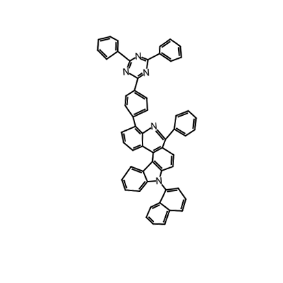 c1ccc(-c2nc(-c3ccccc3)nc(-c3ccc(-c4cccc5c4nc(-c4ccccc4)c4ccc6c(c7ccccc7n6-c6cccc7ccccc67)c45)cc3)n2)cc1